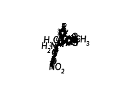 Cc1c(C(N)COCCOC[N+](=O)[O-])cc(-c2ccc(S(C)(=O)=O)cc2)n1-c1ccc(F)cc1